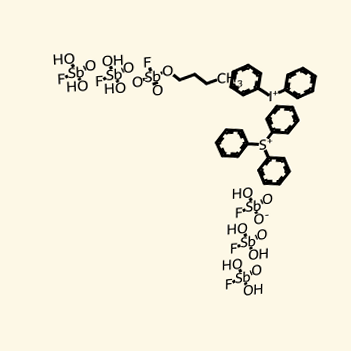 CCCC[O][Sb](=[O])([O-])[F].[O]=[Sb]([O-])([OH])[F].[O]=[Sb]([OH])([OH])[F].[O]=[Sb]([OH])([OH])[F].[O]=[Sb]([OH])([OH])[F].[O]=[Sb]([OH])([OH])[F].c1ccc([I+]c2ccccc2)cc1.c1ccc([S+](c2ccccc2)c2ccccc2)cc1